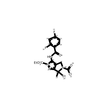 CCOC(=O)n1nc2c(c1NC(=O)c1ccc(F)cc1F)CN(C(=O)Cl)C2(C)CC